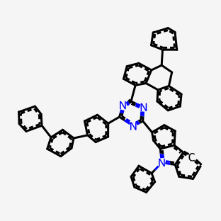 c1ccc(-c2cccc(-c3ccc(-c4nc(-c5ccc6c7ccccc7n(-c7ccccc7)c6c5)nc(-c5cccc6c5-c5ccccc5CC6c5ccccc5)n4)cc3)c2)cc1